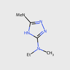 CCN(C)c1nnc(NC)[nH]1